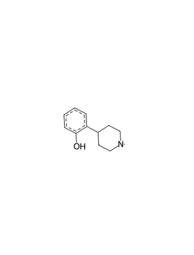 Oc1ccccc1C1CC[N]CC1